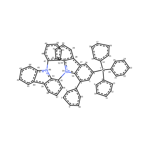 c1ccc(-c2cc([Si](c3ccccc3)(c3ccccc3)c3ccccc3)cc3c4ccccc4n(-c4cccc5c6ccccc6n(-c6ccccc6)c45)c23)cc1